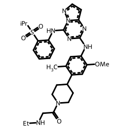 CCNCC(=O)N1CCC(c2cc(OC)c(Nc3nc(Nc4ccccc4S(=O)(=O)C(C)C)n4nccc4n3)cc2C)CC1